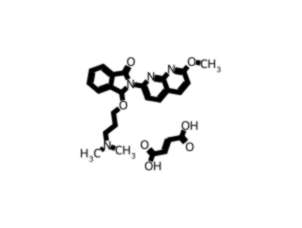 COc1ccc2ccc(N3C(=O)c4ccccc4C3OCCCN(C)C)nc2n1.O=C(O)C=CC(=O)O